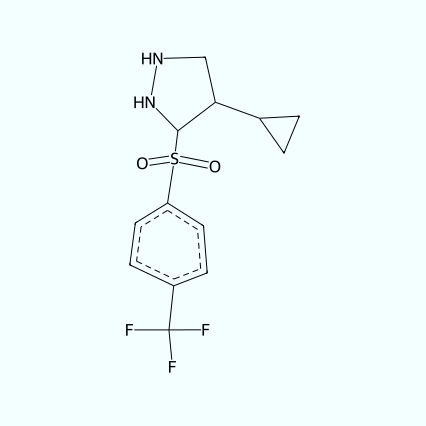 O=S(=O)(c1ccc(C(F)(F)F)cc1)C1NNCC1C1CC1